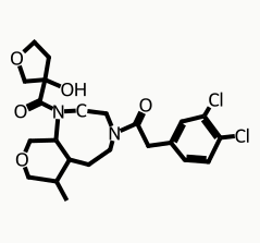 CC1COCC2C1CCN(C(=O)Cc1ccc(Cl)c(Cl)c1)CCN2C(=O)C1(O)CCOC1